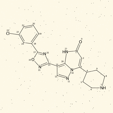 O=c1cc(C2CCNCC2)n2ncc(-c3noc(-c4cccc(Cl)c4)n3)c2[nH]1